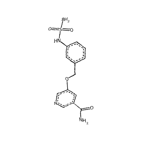 BS(=O)(=O)Nc1cccc(COc2cncc(C(N)=O)c2)c1